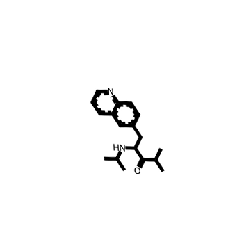 CC(C)NC(Cc1ccc2ncccc2c1)C(=O)C(C)C